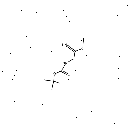 CSC(=N)CNC(=O)OC(C)(C)C